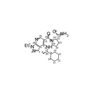 CCn1ncc2c(N[C@H](C)C3CCCCC3)c(C(=O)N3CCC[C@H]3C(N)=O)cnc21